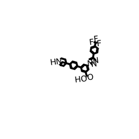 O=C(O)c1cc(-c2ccc(C34CCNC(C3)C4)cc2)cc(-n2cc(-c3ccc(C(F)(F)F)cc3)nn2)c1